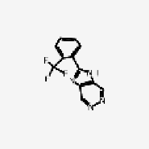 FC(F)(F)c1ccccc1-c1nc2cnncc2[nH]1